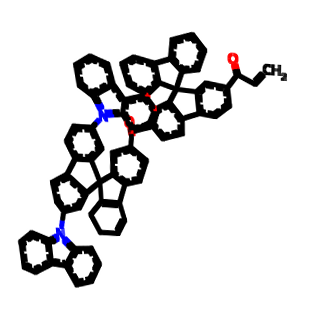 C=CC(=O)c1ccc2c(c1)C1(c3ccccc3-c3ccccc31)c1cc(C(=O)c3ccc4c(c3)C3(C5=C4C=CCC5)c4cc(-n5c6ccccc6c6ccccc65)ccc4-c4ccc(-n5c6ccccc6c6ccccc65)cc43)ccc1-2